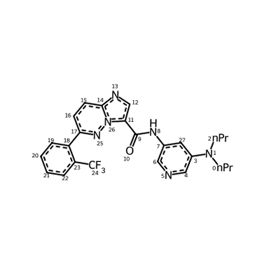 CCCN(CCC)c1cncc(NC(=O)c2cnc3ccc(-c4ccccc4C(F)(F)F)nn23)c1